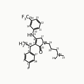 Cc1ccc([C@@H](N)C2=C(Nc3cccc(C(F)(F)F)c3)CN(CCCN(C)C)C2=O)cc1